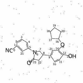 N#Cc1cccc(N2CC(c3ccc(O)c(OC4CCCC4)c3)CC2=O)c1